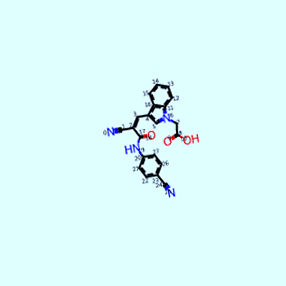 N#CC(=Cc1cn(CC(=O)O)c2ccccc12)C(=O)Nc1ccc(C#N)cc1